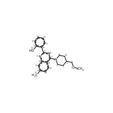 COCC1CCN(c2nc(-c3ccccc3O)nc3cc(C)ccc23)CC1